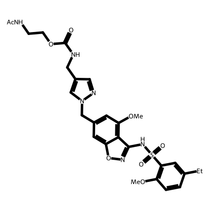 CCc1ccc(OC)c(S(=O)(=O)Nc2noc3cc(Cn4cc(CNC(=O)OCCNC(C)=O)cn4)cc(OC)c23)c1